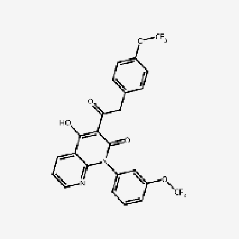 O=C(Cc1ccc(OC(F)(F)F)cc1)c1c(O)c2cccnc2n(-c2cccc(OC(F)(F)F)c2)c1=O